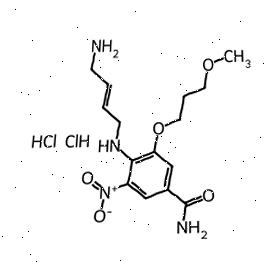 COCCCOc1cc(C(N)=O)cc([N+](=O)[O-])c1NC/C=C/CN.Cl.Cl